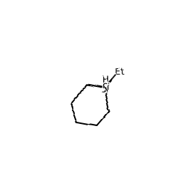 CC[SiH]1CCCCC1